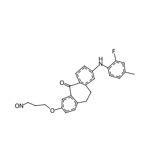 Cc1ccc(Nc2ccc3c(c2)CCc2ccc(OCCCN=O)cc2C3=O)c(F)c1